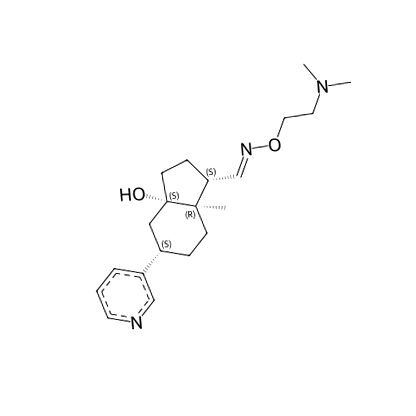 CN(C)CCON=C[C@H]1CC[C@]2(O)C[C@@H](c3cccnc3)CC[C@]12C